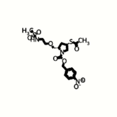 CC(=O)S[C@H]1C[C@@H](COCCNS(C)(=O)=O)N(C(=O)OCc2ccc([N+](=O)[O-])cc2)C1